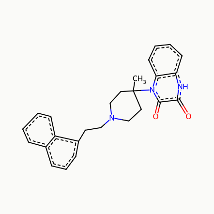 CC1(n2c(=O)c(=O)[nH]c3ccccc32)CCN(CCc2cccc3ccccc23)CC1